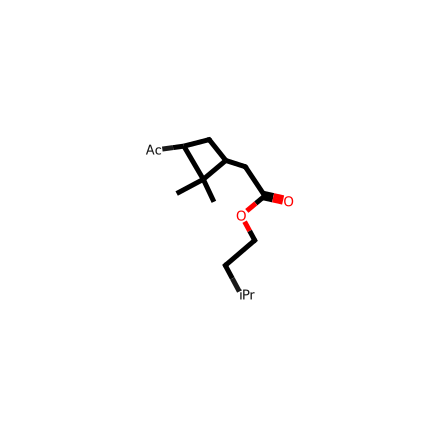 CC(=O)C1CC(CC(=O)OCCC(C)C)C1(C)C